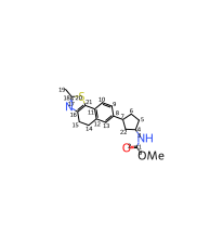 COC(=O)NC1CCC(c2ccc3c(c2)CCc2nc(C)sc2-3)C1